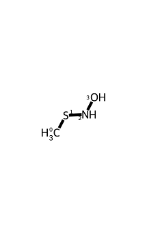 CSNO